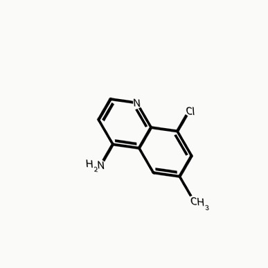 Cc1cc(Cl)c2nccc(N)c2c1